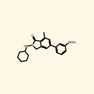 CC(=O)Nc1cccc(-c2cc(C)c3c(c2)CN(NC2CCCCC2)C3=O)c1